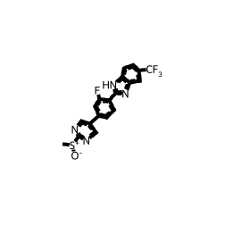 C[S+]([O-])c1ncc(-c2ccc(-c3nc4cc(C(F)(F)F)ccc4[nH]3)c(F)c2)cn1